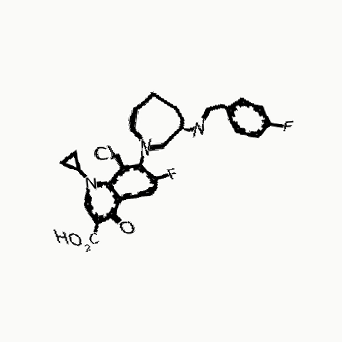 O=C(O)c1cn(C2CC2)c2c(Cl)c(N3CCCC[C@@H](/N=C/c4ccc(F)cc4)C3)c(F)cc2c1=O